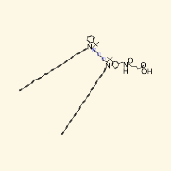 C#CC#CC#CC#CC#CC#CC#CC#CC#CC#CC#CN1/C(=C/C=C/C=C/C2=[N+](C#CC#CC#CC#CC#CC#CC#CC#CC#CC#CC#C)c3ccc(CNC(=O)CCCC(=O)O)cc3C2(C)C)C(C)(C)c2ccccc21